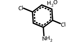 Nc1cc(Cl)ccc1Cl.O